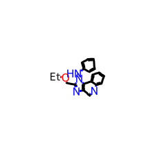 CCOCc1nc2cnc3ccccc3c2n1Nc1ccccc1